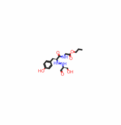 CCCOC(=O)CNC(=O)[C@H](Cc1ccc(O)cc1)NN[C@H](C=O)CO